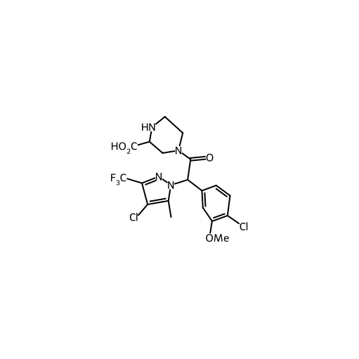 COc1cc(C(C(=O)N2CCNC(C(=O)O)C2)n2nc(C(F)(F)F)c(Cl)c2C)ccc1Cl